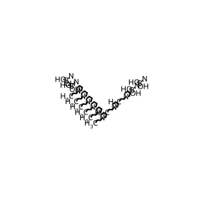 CCCN1CCCC1.CCCN1CCCC1.CCCN1CCCC1.CCCN1CCCC1.CCCN1CCCC1.CCCN1CCCC1.CCCN1CCCC1.CCCN1CCCC1.N#CB(O)O.N#CB(O)O.N#CB(O)O.N#CB(O)O